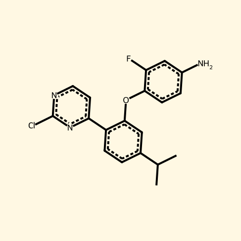 CC(C)c1ccc(-c2ccnc(Cl)n2)c(Oc2ccc(N)cc2F)c1